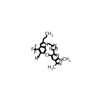 CCCc1cc2c(C(F)(F)F)c(C#N)ccc2n1Cc1noc(-c2nc3c(cc2Cl)c(C)nn3C)n1